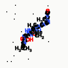 C=CC(=O)Nc1cc(Nc2nc(-c3ccnc(N4CCn5c(cc6c5CC(C)(C)C6)C4=O)c3CO)cnc2OC)ccc1N1CCN(C2CCN(c3ccnc(N4CCN(C5CCOCC5)C[C@@H]4C)c3)CC2)C[C@@H]1C